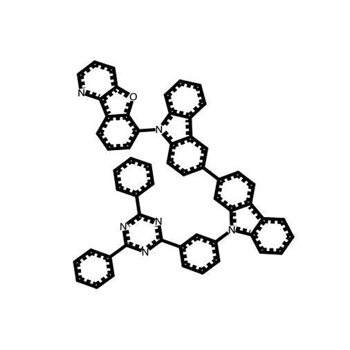 c1ccc(-c2nc(-c3ccccc3)nc(-c3cccc(-n4c5ccccc5c5ccc(-c6ccc7c(c6)c6ccccc6n7-c6cccc7c6oc6cccnc67)cc54)c3)n2)cc1